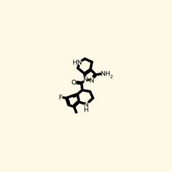 Cc1cc(F)cc2c1NCCC2C(=O)n1nc(N)c2c1CNCC2